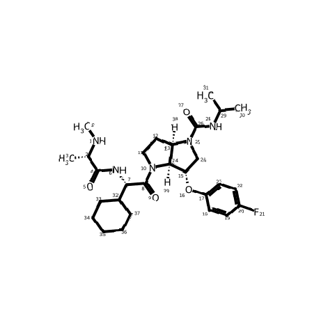 CN[C@@H](C)C(=O)N[C@H](C(=O)N1CC[C@@H]2[C@H]1[C@@H](Oc1ccc(F)cc1)CN2C(=O)NC(C)C)C1CCCCC1